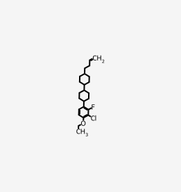 C=CCCC1CCC(C2CCC(c3ccc(OCC)c(Cl)c3F)CC2)CC1